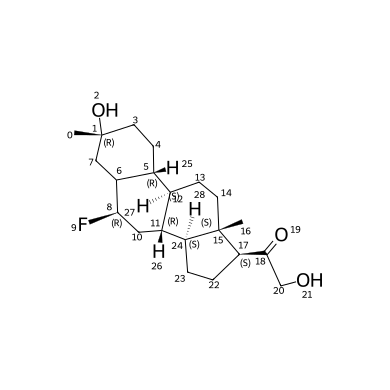 C[C@@]1(O)CC[C@H]2C(C1)[C@H](F)C[C@@H]1[C@@H]2CC[C@]2(C)[C@@H](C(=O)CO)CC[C@@H]12